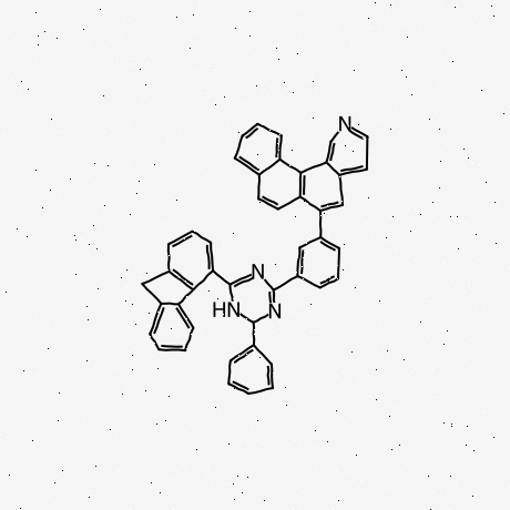 c1ccc(C2N=C(c3cccc(-c4cc5ccncc5c5c4ccc4ccccc45)c3)N=C(c3cccc4c3-c3ccccc3C4)N2)cc1